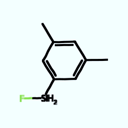 Cc1cc(C)cc([SiH2]F)c1